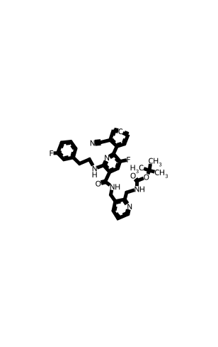 CC(C)(C)OC(=O)NCc1ncccc1CNC(=O)c1cc(F)c(-c2ccccc2C#N)nc1NCCc1cccc(F)c1